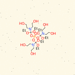 CCOC(OCC)(OP(=O)(OC(OCC)(OCC)N(CCO)CCO)OC(OCC)(OCC)N(CCO)CCO)N(CCO)CCO